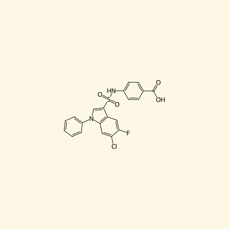 O=C(O)c1ccc(NS(=O)(=O)c2cn(-c3ccccc3)c3cc(Cl)c(F)cc23)cc1